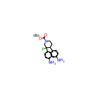 CC(C)(C)OC(=O)N1CCC(c2ccc(N)cc2)C(F)(c2ccc(N)cc2)C1